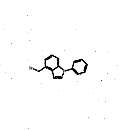 BrCc1cccc2c1ccn2-c1ccccc1